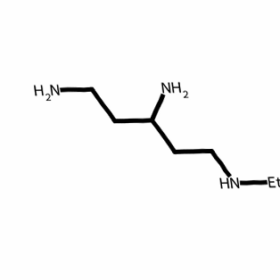 CCNCCC(N)CCN